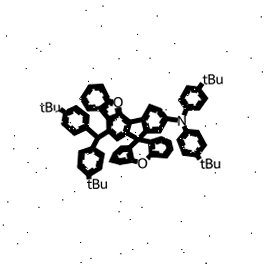 CC(C)(C)c1ccc(C(c2ccc(C(C)(C)C)cc2)c2cc3c(c4oc5ccccc5c24)-c2ccc(N(c4ccc(C(C)(C)C)cc4)c4ccc(C(C)(C)C)cc4)cc2C32c3ccccc3Oc3ccccc32)cc1